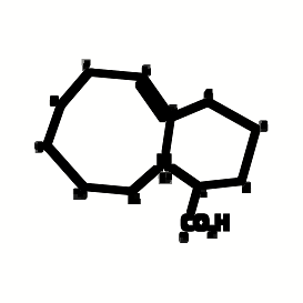 O=C(O)C1CCCC2=CCCCCCN21